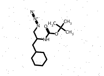 CC(C)(C)OC(=O)NC(CN=[N+]=[N-])CC1CCCCC1